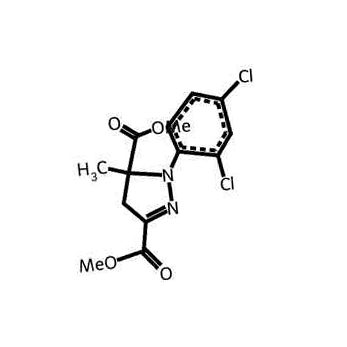 COC(=O)C1=NN(c2ccc(Cl)cc2Cl)C(C)(C(=O)OC)C1